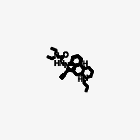 C#Cc1c2c3c(cccc3n1NC(=O)N(CC)CC)[C@H]1CCCN(CCC)[C@@H]1C2